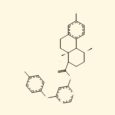 CC(C)c1ccc2c(c1)CC[C@@H]1[C@@H]2[C@@H](C)CC[C@@]1(C)C(=O)Nc1cc(Nc2ccc(F)cc2)ncn1